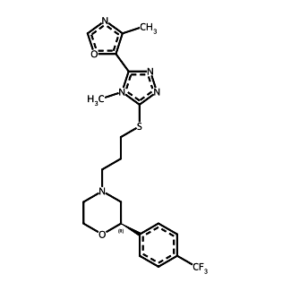 Cc1ncoc1-c1nnc(SCCCN2CCO[C@H](c3ccc(C(F)(F)F)cc3)C2)n1C